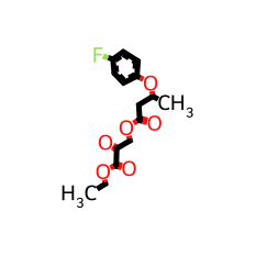 CCOC(=O)C(=O)COC(=O)CC(C)Oc1ccc(F)cc1